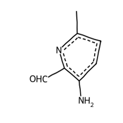 Cc1ccc(N)c(C=O)n1